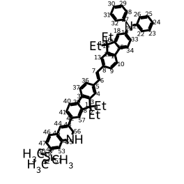 CCC1(CC)c2cc(/C=C/c3ccc4c(c3)C(CC)(CC)c3cc(N(c5ccccc5)c5ccccc5)ccc3-4)ccc2-c2ccc(C3=Cc4ccc([Si](C)(C)C)cc4NC3)cc21